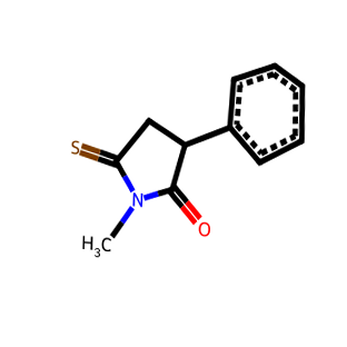 CN1C(=O)C(c2ccccc2)CC1=S